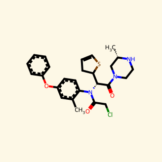 Cc1cc(Oc2ccccc2)ccc1N(C(=O)CCl)[C@@H](C(=O)N1CCN[C@@H](C)C1)C1CC=CS1